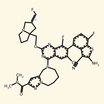 CN(C)C(=O)c1cc2n(n1)CCCCN(c1nc(OCC34CCCN3C/C(=C\F)C4)nc3c(F)c(-c4ccc(F)c5sc(N)c(C#N)c45)c(Cl)cc13)C2